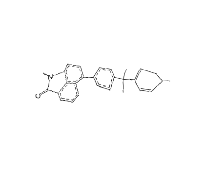 CC1C=CC(C(C)(C)c2ccc(-c3ccc4c5c(cccc35)C(=O)N4C)cc2)=CC1